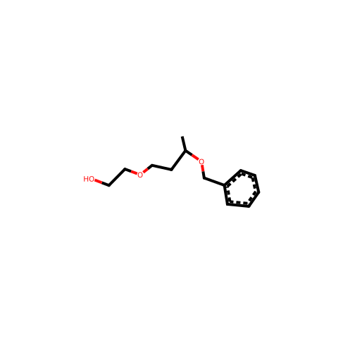 CC(CCOCCO)OCc1ccccc1